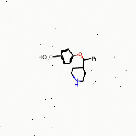 CC(C)C(Oc1ccc(C(=O)O)cc1)C1CCNCC1